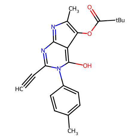 C#Cc1nc2nc(C)c(OC(=O)C(C)(C)C)c-2c(O)n1-c1ccc(C)cc1